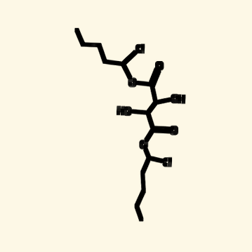 CCCCC(Cl)OC(=O)C(O)C(O)C(=O)OC(Cl)CCCC